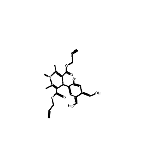 C=CCOC(=O)C1=C(C)N(C)C(C)=C(C(=O)OCC=C)C1c1cc(=CO)c(=CO)cc1Br